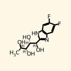 C[C@@H](O)[C@@H](O)[C@H](O)[C@H](O)c1nc2cc(F)c(F)cc2[nH]1